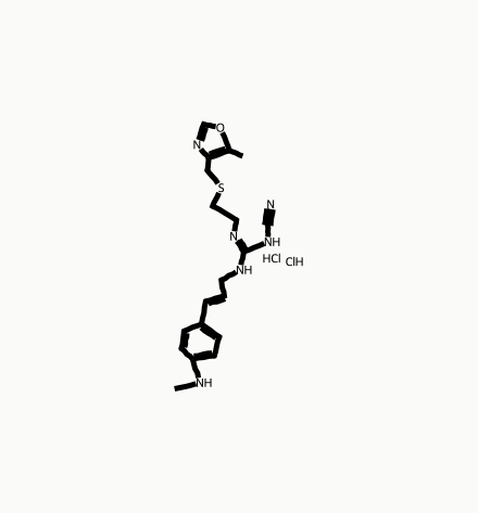 CNc1ccc(C=CCNC(=NCCSCc2ncoc2C)NC#N)cc1.Cl.Cl